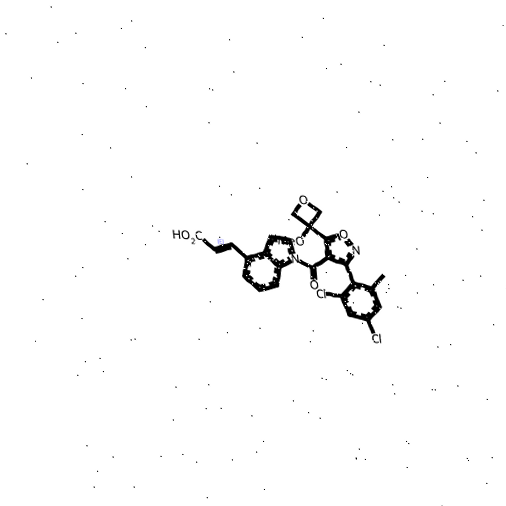 COC1(c2onc(-c3c(C)cc(Cl)cc3Cl)c2C(=O)n2ccc3c(/C=C/C(=O)O)cccc32)COC1